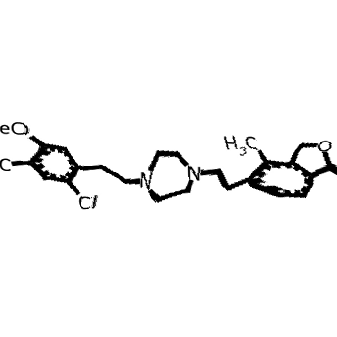 COc1cc(CCN2CCN(CCc3ccc4c(c3C)COC4=O)CC2)c(Cl)cc1C#N